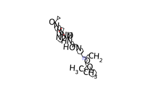 C=C/C(=C\C1=CCN(C[C@@H](O)CNC(=O)C2=C3CCN(C(N4CCN(C(=O)C5CC5)CC4)=C2)C3NC2CCC2)CC1)OCC(OC1=CCCCCC1)C(C)C